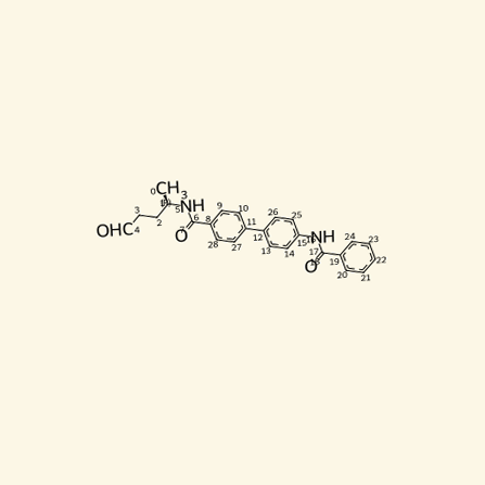 C[C@H](CCC=O)NC(=O)c1ccc(-c2ccc(NC(=O)c3ccccc3)cc2)cc1